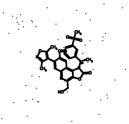 COc1cc2c(cc1-c1c(C)noc1C)nc(CO)c1oc(=O)n([C@H](C)c3cccc(S(C)(=O)=O)c3)c12